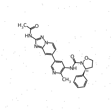 CC(=O)Nc1nc2cc(-c3cnc(C)c(NC(=O)N4OCC[C@H]4c4ccccc4)c3)ccn2n1